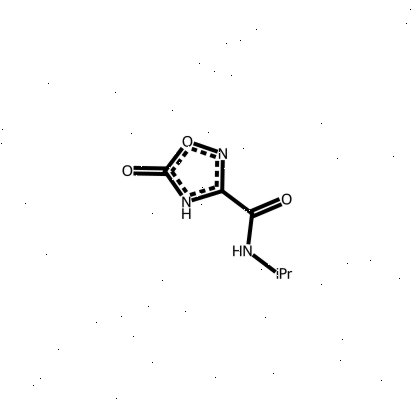 CC(C)NC(=O)c1noc(=O)[nH]1